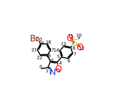 Cc1noc(-c2ccc(S(C)(=O)=O)cc2)c1-c1ccc(Br)cc1